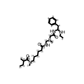 CCNC(Cc1ccccc1)NC(=O)CN(F)CNC(=O)CCCCCN(C)C(=O)C(C)CC